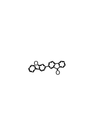 O=C1c2ccccc2-c2ccc(-c3ccc4c(c3)oc3ccccc34)cc21